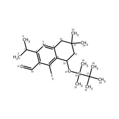 CC(C)c1nc2c(c(I)c1C=O)C(O[Si](C)(C)C(C)(C)C)CC(C)(C)C2